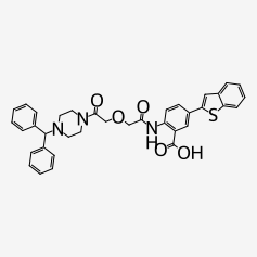 O=C(COCC(=O)N1CCN(C(c2ccccc2)c2ccccc2)CC1)Nc1ccc(-c2cc3ccccc3s2)cc1C(=O)O